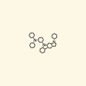 c1ccc(N(c2ccccc2)c2cccc(-n3c4ccccc4c4cc5ccn(-c6ccccc6)c5cc43)c2)cc1